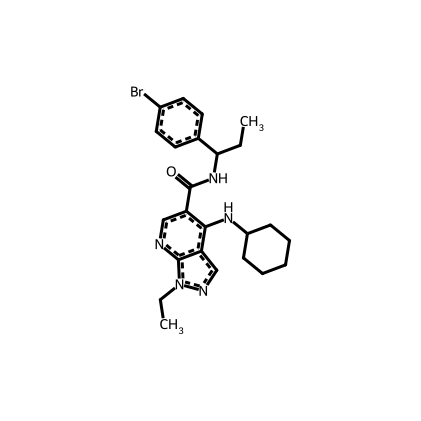 CCC(NC(=O)c1cnc2c(cnn2CC)c1NC1CCCCC1)c1ccc(Br)cc1